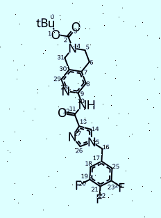 CC(C)(C)OC(=O)N1CCc2cc(NC(=O)c3cn(Cc4cc(F)c(F)c(F)c4)cn3)ncc2C1